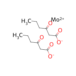 CCCC(=O)CC(=O)[O-].CCCC(=O)CC(=O)[O-].[Mo+2]